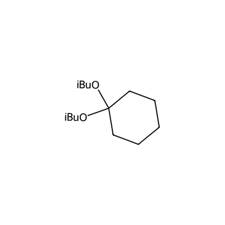 CC(C)COC1(OCC(C)C)CCCCC1